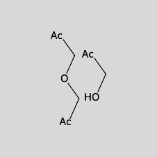 CC(=O)CO.CC(=O)COCC(C)=O